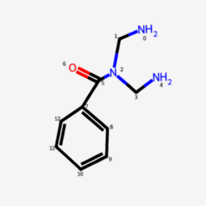 NCN(CN)C(=O)c1ccccc1